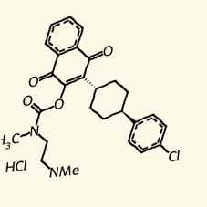 CNCCN(C)C(=O)OC1=C([C@H]2CC[C@H](c3ccc(Cl)cc3)CC2)C(=O)c2ccccc2C1=O.Cl